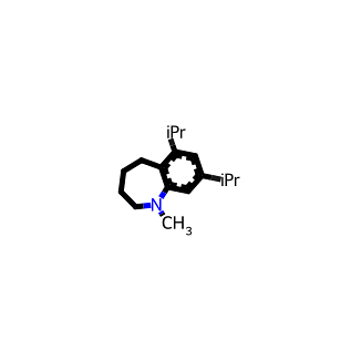 CC(C)c1cc(C(C)C)c2c(c1)N(C)CCCC2